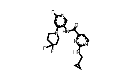 O=C(Nc1cnc(F)cc1N1CCC(F)(F)CC1)c1ccnc(NCC2CC2)n1